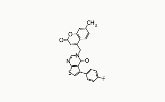 Cc1ccc2c(Cn3cnc4scc(-c5ccc(F)cc5)c4c3=O)cc(=O)oc2c1